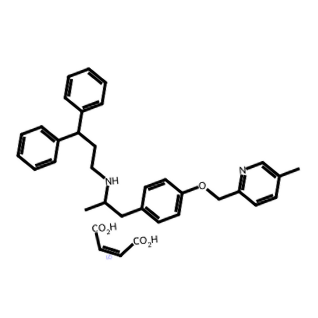 Cc1ccc(COc2ccc(CC(C)NCCC(c3ccccc3)c3ccccc3)cc2)nc1.O=C(O)/C=C\C(=O)O